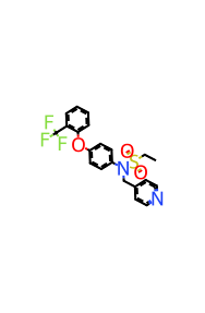 CCS(=O)(=O)N(Cc1ccncc1)c1ccc(Oc2ccccc2C(F)(F)F)cc1